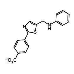 O=C(O)c1ccc(-c2ncc(CNc3ccccc3)s2)cc1